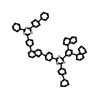 c1ccc(-c2ccc(-c3nc(-c4ccccc4)nc(-c4ccc(-c5cccc6cc(-c7ccc(-c8nc(-c9ccc(-c%10ccccc%10)cc9)nc(-c9cc(-c%10cccc%11ccccc%10%11)cc(-c%10cccc%11ccccc%10%11)c9)n8)cc7)ccc56)cc4)n3)cc2)cc1